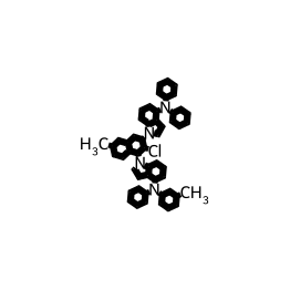 Cc1cccc(N(c2ccccc2)c2cccc3c2ccn3-c2c(Cl)c(-n3ccc4c(N(c5ccccc5)c5ccccc5)cccc43)cc3cc(C)ccc23)c1